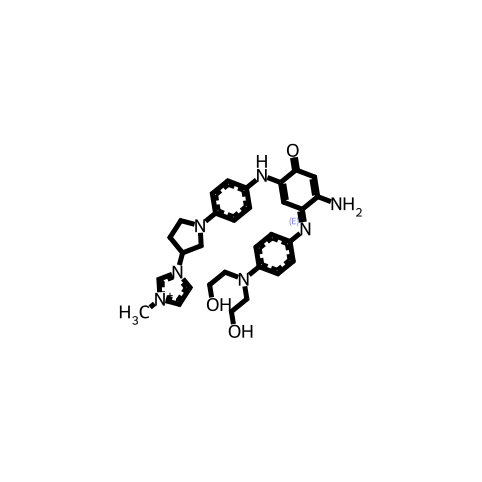 C[n+]1ccn(C2CCN(c3ccc(NC4=C/C(=N\c5ccc(N(CCO)CCO)cc5)C(N)=CC4=O)cc3)C2)c1